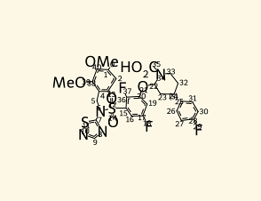 COc1ccc(CN(c2ncns2)S(=O)(=O)c2cc(F)cc(OC3C[C@@H](c4ccc(F)cc4)CCN3C(=O)O)c2F)c(OC)c1